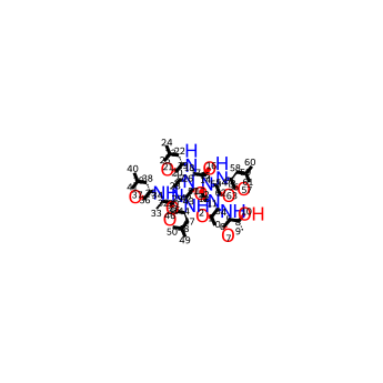 CC(=O)[C@H](N[C@H](C=O)[C@@H](C)O)N1CCN(C(=O)[C@H](N[C@H](C=O)CC(C)C)N2CCN(C(=O)[C@@H](C)N[C@H](C=O)CC(C)C)[C@@H](N[C@H](C=O)CC(C)C)C2=O)[C@@H](N[C@H](C=O)CC(C)C)C1=O